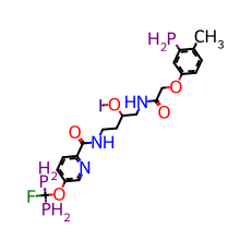 Cc1ccc(OCC(=O)NCC(CCNC(=O)c2ccc(OC(F)(P)P)cn2)OI)cc1P